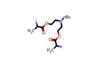 CCCCN(CCOC(=O)C(C)I)CCOC(=O)C(C)I